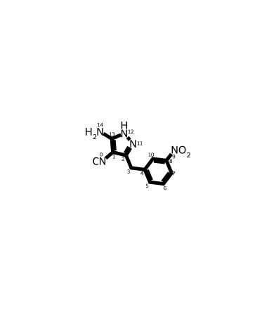 [C-]#[N+]c1c(Cc2cccc([N+](=O)[O-])c2)n[nH]c1N